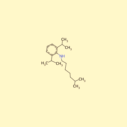 CC(C)CCCCCNc1c(C(C)C)cccc1C(C)C